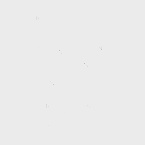 C=CC(=O)N1CCN(c2cc(OC[C@@H]3CCCN3C)nc3c2CCN(c2nccc4ccccc24)C3)CC1CC#N